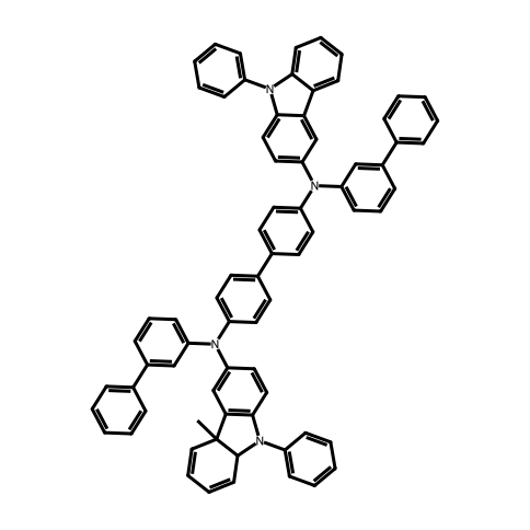 CC12C=CC=CC1N(c1ccccc1)c1ccc(N(c3ccc(-c4ccc(N(c5cccc(-c6ccccc6)c5)c5ccc6c(c5)c5ccccc5n6-c5ccccc5)cc4)cc3)c3cccc(-c4ccccc4)c3)cc12